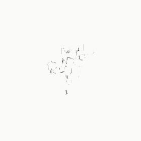 C#CCOC(=O)C1=C(C(=O)N(Cc2cnccc2C)c2cc(OCC=C)c(Cl)cc2F)CCCC1